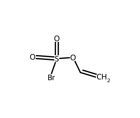 C=COS(=O)(=O)Br